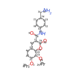 CC(C)Oc1ccc2cc(C(=O)Nc3ccc(CN)cc3)c(=O)oc2c1OC(C)C